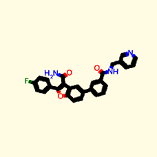 NC(=O)c1c(-c2ccc(F)cc2)oc2ccc(-c3cccc(C(=O)NCc4cccnc4)c3)cc12